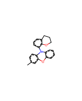 Cc1ccc2c(c1)Oc1ccccc1N2c1cccc2c1OCCC2